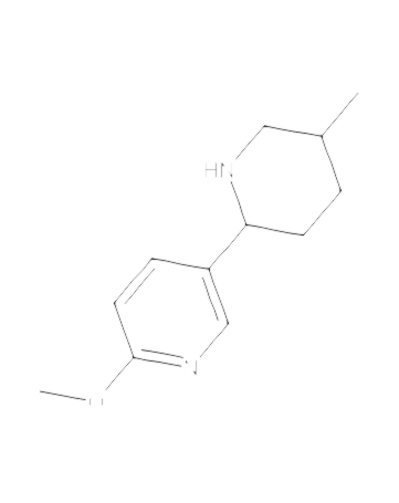 COc1ccc(C2CCC(C)CN2)cn1